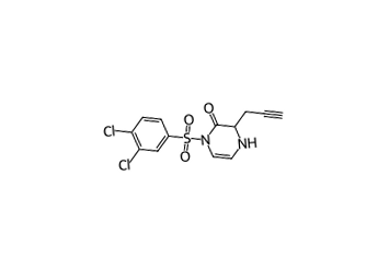 C#CCC1NC=CN(S(=O)(=O)c2ccc(Cl)c(Cl)c2)C1=O